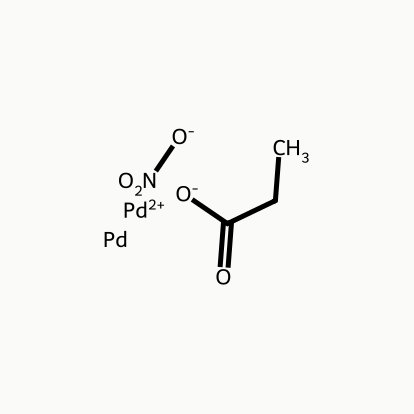 CCC(=O)[O-].O=[N+]([O-])[O-].[Pd+2].[Pd]